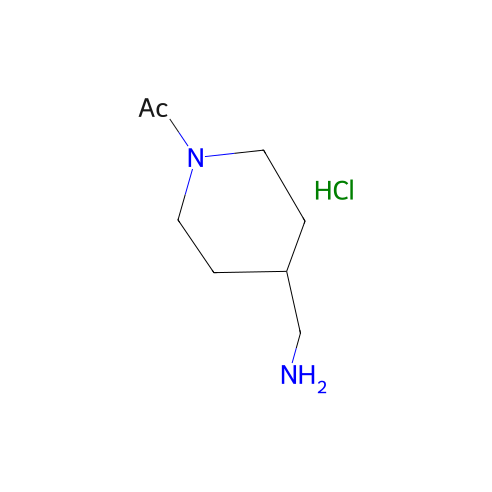 CC(=O)N1CCC(CN)CC1.Cl